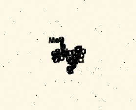 COCCOCc1nc(C(F)(F)F)ccc1C(=O)C1C(=O)CCCC1=O.CS(=O)(=O)c1ccc(C(=O)C2C(=O)CCCC2=O)c(Cl)c1COCC1CCCO1